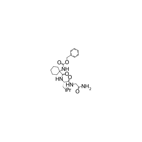 CC(C)C[C@H](NC(=O)C1(NC(=O)OCc2ccccc2)CCCCC1)C(=O)NCC(N)=O